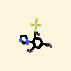 Cc1cc(C)c([NH+]2C=NCC2)c(C)c1.F[B-](F)(F)F